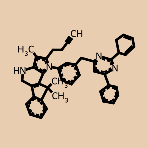 C#CCCc1c(C)c2c(n1-c1cccc(Cc3cc(-c4ccccc4)nc(C4C=CC=CC4)n3)c1)C1=C(CN2)c2ccccc2C1(C)C